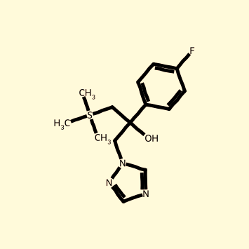 CS(C)(C)CC(O)(Cn1cncn1)c1ccc(F)cc1